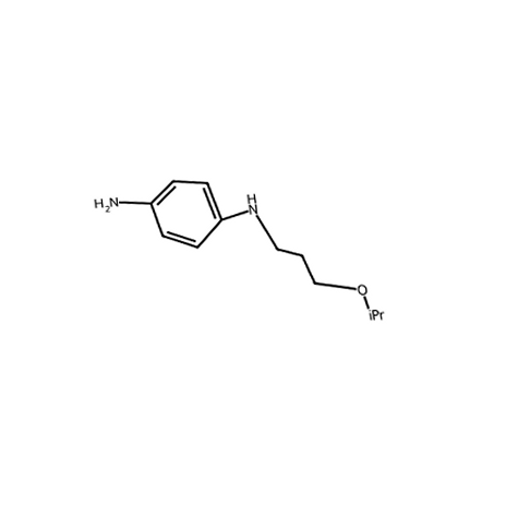 CC(C)OCCCNc1ccc(N)cc1